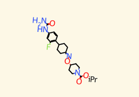 CC(C)OC(=O)N1CCC(ON=C2CCC(c3ccc(NC(N)=O)cc3F)CC2)CC1